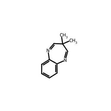 CC1(C)C=Nc2ccccc2N=C1